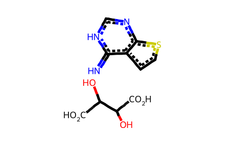 N=c1[nH]cnc2sccc12.O=C(O)C(O)C(O)C(=O)O